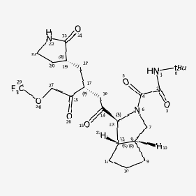 CC(C)(C)NC(=O)C(=O)N1C[C@@H]2CCC[C@@H]2[C@H]1C(=O)C[C@@H](C[C@@H]1CCNC1=O)C(=O)COC(F)(F)F